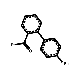 CCC(=O)c1ccccc1-c1ccc(C(C)(C)C)cc1